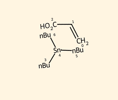 C=CC(=O)O.CCC[CH2][Sn]([CH2]CCC)[CH2]CCC